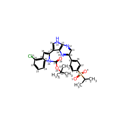 CC(C)S(=O)(=O)c1ccc(-c2cnc3[nH]cc(-c4cc5c(Cl)cccc5n4C(=O)OC(C)(C)C)c3n2)cc1